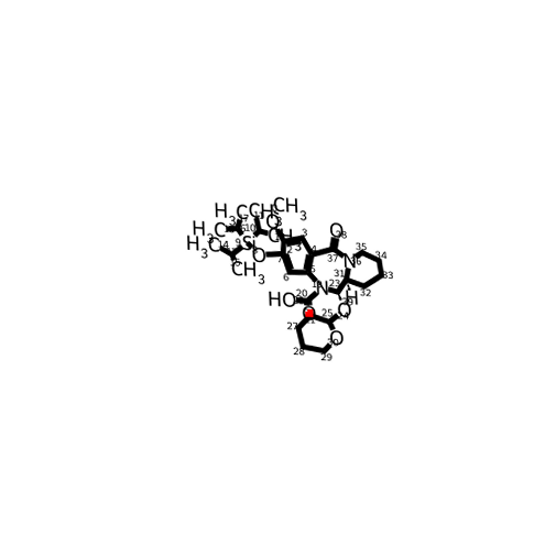 COc1cc2c(cc1O[Si](C(C)C)(C(C)C)C(C)C)N(C(=O)O)[C@@H](OC1CCCCO1)[C@@H]1CCCCN1C2=O